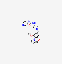 CCOc1cc(CN2CCC(Nc3nc4ccnc(C)c4o3)CC2)cc(OCC)c1-n1cccc1